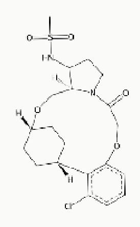 CS(=O)(=O)NC1CCN2C(=O)COc3cccc(Cl)c3[C@H]3CC[C@H](CC3)OC[C@@H]12